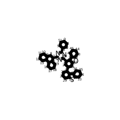 c1ccc(-c2nc(-c3cc4ccccc4c4ccccc34)nc(-c3cc(-c4cccc5sc6ccccc6c45)cc4oc5ccccc5c34)n2)cc1